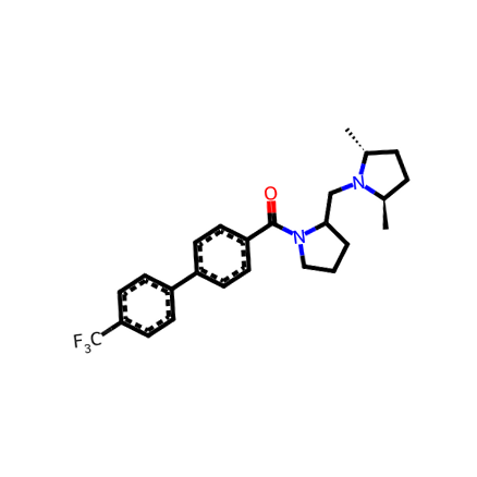 C[C@@H]1CC[C@@H](C)N1CC1CCCN1C(=O)c1ccc(-c2ccc(C(F)(F)F)cc2)cc1